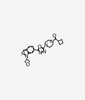 O=C(C1CCC1)N1CCN(c2nnc(-c3ccc4cnn(C5COC5)c4c3)o2)CC1